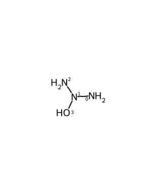 NN(N)O